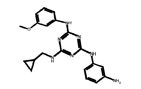 COc1cccc(Nc2nc(NCC3CC3)nc(Nc3cccc(N)c3)n2)c1